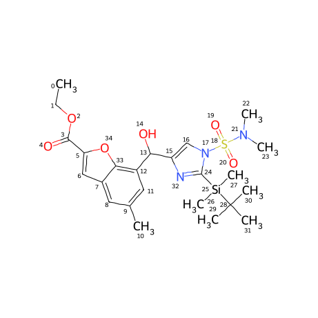 CCOC(=O)c1cc2cc(C)cc(C(O)c3cn(S(=O)(=O)N(C)C)c([Si](C)(C)C(C)(C)C)n3)c2o1